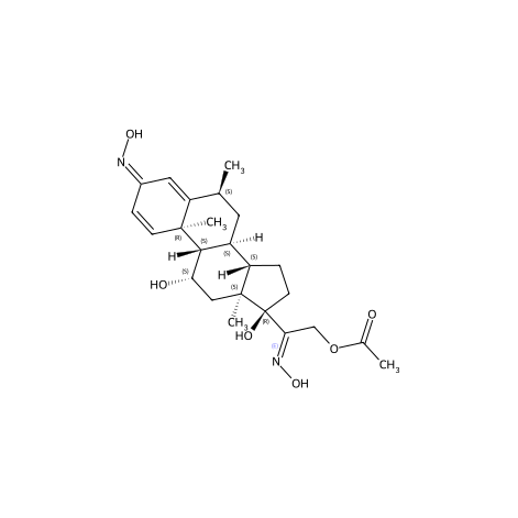 CC(=O)OC/C(=N\O)[C@@]1(O)CC[C@H]2[C@@H]3C[C@H](C)C4=CC(=NO)C=C[C@]4(C)[C@H]3[C@@H](O)C[C@@]21C